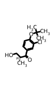 C[C@H](CO)C(=O)c1ccc(OC(C)(C)C)c(Cl)c1